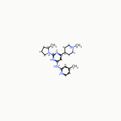 Cc1ccnc(Nc2cc(C3CCN(C)CC3)nc(N3CCCC3C)n2)c1